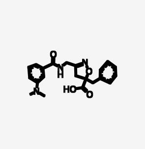 CN(C)c1cccc(C(=O)NCC2=NOC(Cc3ccccc3)(C(=O)O)C2)c1